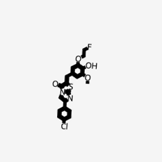 COc1cc(/C=c2\sc3nc(-c4ccc(Cl)cc4)cn3c2=O)cc(OCCF)c1O